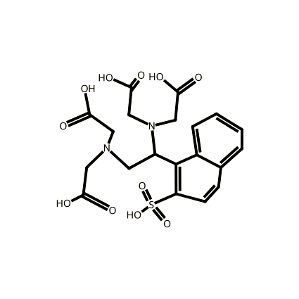 O=C(O)CN(CC(=O)O)CC(c1c(S(=O)(=O)O)ccc2ccccc12)N(CC(=O)O)CC(=O)O